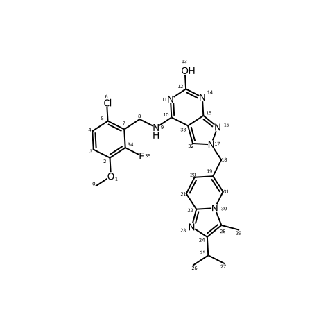 COc1ccc(Cl)c(CNc2nc(O)nc3nn(Cc4ccc5nc(C(C)C)c(C)n5c4)cc23)c1F